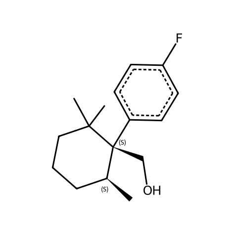 C[C@H]1CCCC(C)(C)[C@]1(CO)c1ccc(F)cc1